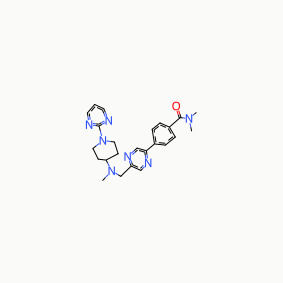 CN(C)C(=O)c1ccc(-c2cnc(CN(C)C3CCN(c4ncccn4)CC3)cn2)cc1